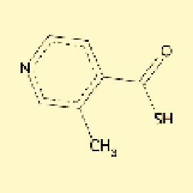 Cc1cnccc1C(=O)S